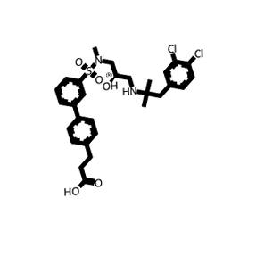 CN(C[C@H](O)CNC(C)(C)Cc1ccc(Cl)c(Cl)c1)S(=O)(=O)c1cccc(-c2ccc(CCC(=O)O)cc2)c1